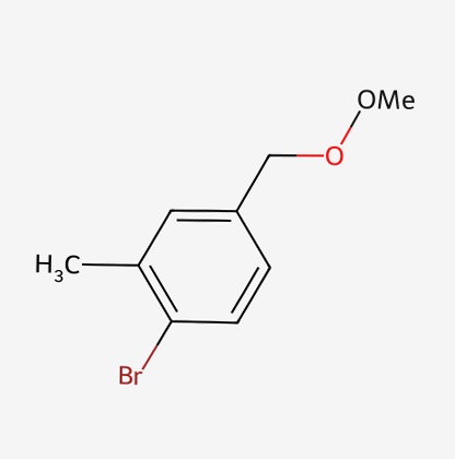 COOCc1ccc(Br)c(C)c1